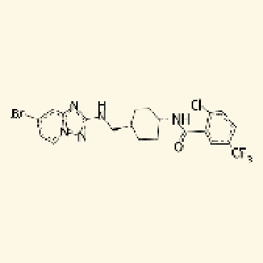 O=C(N[C@H]1CC[C@H](CNc2nc3cc(Br)ccn3n2)CC1)c1cc(C(F)(F)F)ccc1Cl